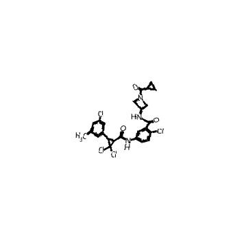 Cc1cc(Cl)cc(C2C(C(=O)Nc3ccc(Cl)c(C(=O)NC4CN(C(=O)C5CC5)C4)c3)C2(Cl)Cl)c1